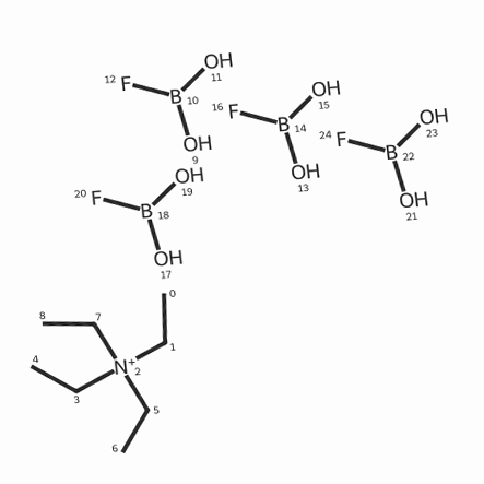 CC[N+](CC)(CC)CC.OB(O)F.OB(O)F.OB(O)F.OB(O)F